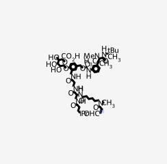 CNC(C(=O)NC(C)C(C)(C)C)C(C)(C)c1cccc(NC(=O)OCc2ccc(OC3OC(C(=O)O)C(O)C(O)C3O)c(CNC(=O)CCNC(=O)C(CNC(=O)CCC(C)C)NC(=O)CCCCCN(C)C(=O)/C=C\C=O)c2)c1